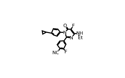 CCNc1nc(-c2ccc(C#N)c(F)c2)n(-c2ccc(C3CC3)cc2)c(=O)c1F